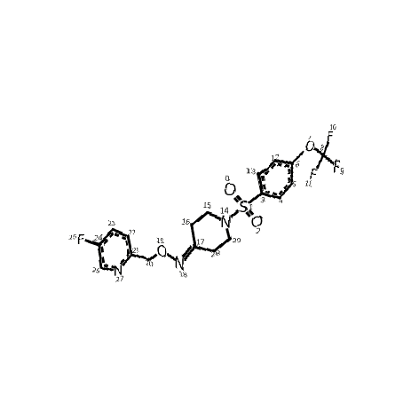 O=S(=O)(c1ccc(OC(F)(F)F)cc1)N1CCC(=NOCc2ccc(F)cn2)CC1